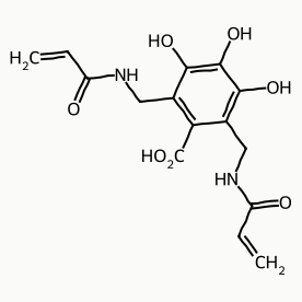 C=CC(=O)NCc1c(O)c(O)c(O)c(CNC(=O)C=C)c1C(=O)O